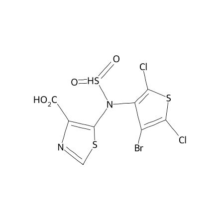 O=C(O)c1ncsc1N(c1c(Cl)sc(Cl)c1Br)[SH](=O)=O